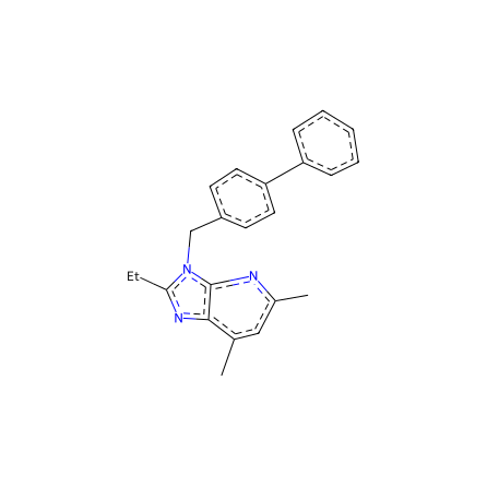 CCc1nc2c(C)cc(C)nc2n1Cc1ccc(-c2ccccc2)cc1